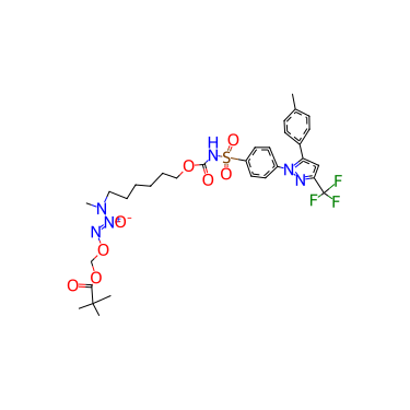 Cc1ccc(-c2cc(C(F)(F)F)nn2-c2ccc(S(=O)(=O)NC(=O)OCCCCCCN(C)[N+]([O-])=NOCOC(=O)C(C)(C)C)cc2)cc1